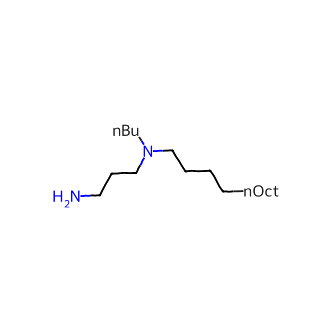 CCCCCCCCCCCCN(CCCC)CCCN